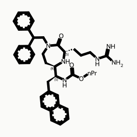 CCCOC(=O)N[C@@H](Cc1ccc2ccccc2c1)[C@H]1CCN(CC(c2ccccc2)c2ccccc2)C(=O)[C@H](CCCNC(=N)N)N1